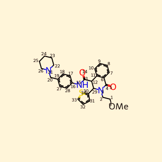 COCCN1C(=O)c2ccccc2C(C(=O)Nc2ccc(CN3CCCCC3)cc2)C1c1cccs1